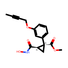 CC#CCOc1cccc([C@@]2(C(=O)OC)C[C@H]2C(=O)NO)c1